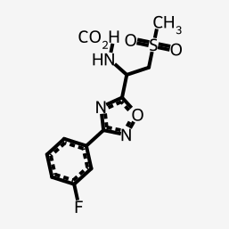 CS(=O)(=O)CC(NC(=O)O)c1nc(-c2cccc(F)c2)no1